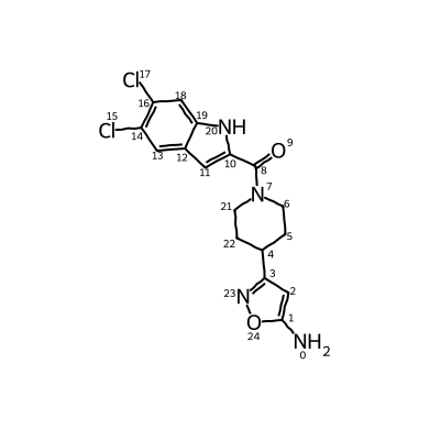 Nc1cc(C2CCN(C(=O)c3cc4cc(Cl)c(Cl)cc4[nH]3)CC2)no1